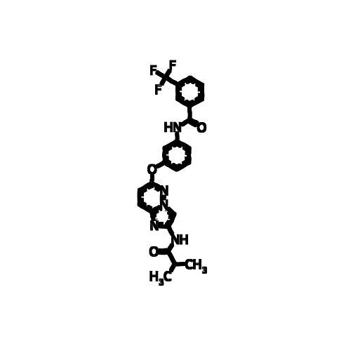 CC(C)C(=O)Nc1cn2nc(Oc3cccc(NC(=O)c4cccc(C(F)(F)F)c4)c3)ccc2n1